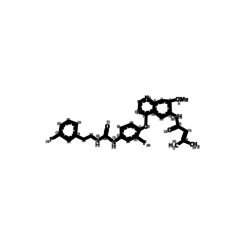 COc1cc2ncnc(Oc3ccc(NC(=O)NCCc4cccc(F)c4)cc3F)c2cc1NC(=O)C=C(C)C